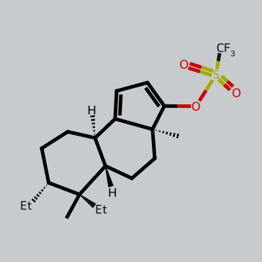 CC[C@@H]1CC[C@H]2C3=CC=C(OS(=O)(=O)C(F)(F)F)[C@@]3(C)CC[C@@H]2[C@@]1(C)CC